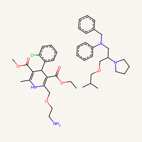 CC(C)COCC(CN(Cc1ccccc1)c1ccccc1)N1CCCC1.CCOC(=O)C1=C(COCCN)NC(C)=C(C(=O)OC)C1c1ccccc1Cl